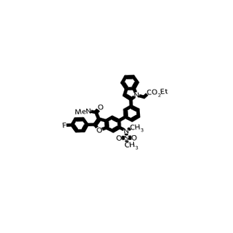 CCOC(=O)Cn1c(-c2cccc(-c3cc4c(C(=O)NC)c(-c5ccc(F)cc5)oc4cc3N(C)S(C)(=O)=O)c2)cc2ccccc21